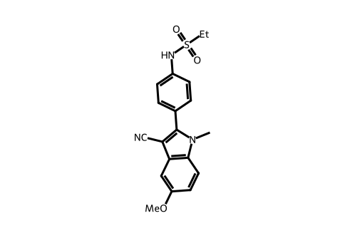 CCS(=O)(=O)Nc1ccc(-c2c(C#N)c3cc(OC)ccc3n2C)cc1